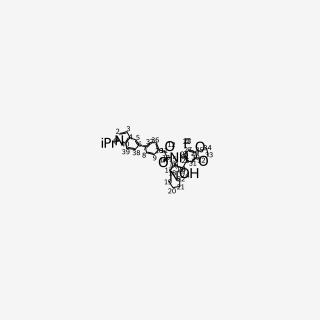 CC(C)n1ccc2cc(-c3ccc(C(=O)C(=O)N[C@H](CN4CCCC4)[C@@H](O)c4cc(F)c5c(c4)OCCO5)cc3)ccc21